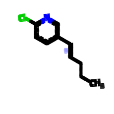 CCC/C=C/c1ccc(Cl)nc1